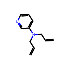 C=CCN(CC=C)c1[c]nccc1